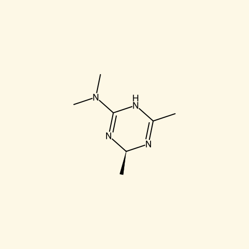 CC1=N[C@@H](C)N=C(N(C)C)N1